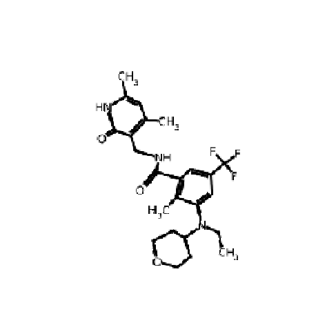 CCN(c1cc(C(F)(F)F)cc(C(=O)NCc2c(C)cc(C)[nH]c2=O)c1C)C1CCOCC1